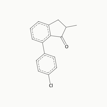 CC1Cc2cccc(-c3ccc(Cl)cc3)c2C1=O